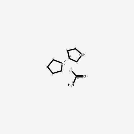 C1CCN([C@@H]2CCNC2)C1.NC(=O)Cl